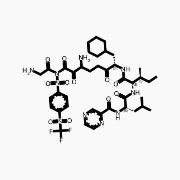 CC[C@H](C)[C@H](NC(=O)[C@H](CC(C)C)NC(=O)c1cnccn1)C(=O)N[C@@H](CC1CCCCC1)C(=O)CCC(N)C(=O)C(=O)N(C(=O)CN)S(=O)(=O)c1ccc(S(=O)(=O)C(F)(F)F)cc1